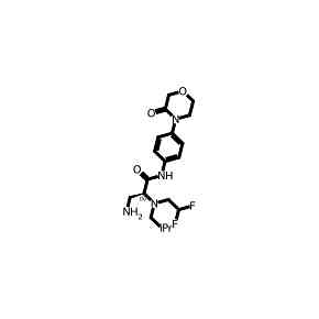 CC(C)CN(CC(F)F)[C@@H](CN)C(=O)Nc1ccc(N2CCOCC2=O)cc1